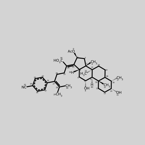 CC(=O)O[C@H]1C[C@@]2(C)[C@H](C[C@@H](O)[C@@H]3[C@@]4(C)CC[C@@H](O)[C@@H](C)C4CC[C@@]32C)C1=C(CCC(=C(C)C)c1ccc(C#N)cc1)C(=O)O